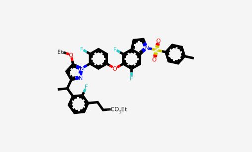 CCOC(=O)CCc1cccc(C(C)c2cc(OCC)n(-c3cc(Oc4c(F)cc5c(ccn5S(=O)(=O)c5ccc(C)cc5)c4F)ccc3F)n2)c1F